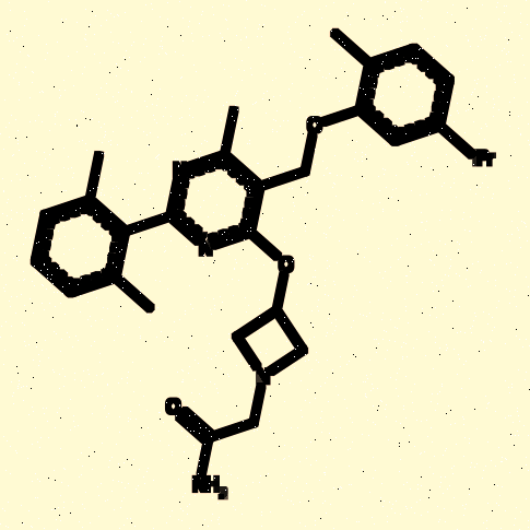 Cc1ccc(C(C)C)cc1OCc1c(C)nc(-c2c(C)cccc2C)nc1OC1CN(CC(N)=O)C1